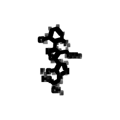 COCc1c(-c2c(F)cccc2Cl)noc1-c1cnn(C[C@H](C)O)c1C(F)(F)F